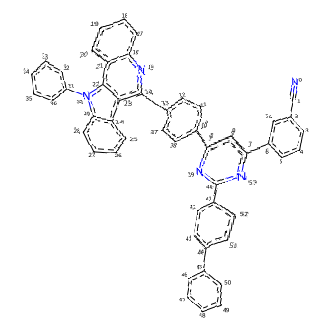 N#Cc1cccc(-c2cc(-c3ccc(-c4nc5ccccc5c5c4c4ccccc4n5-c4ccccc4)cc3)nc(-c3ccc(-c4ccccc4)cc3)n2)c1